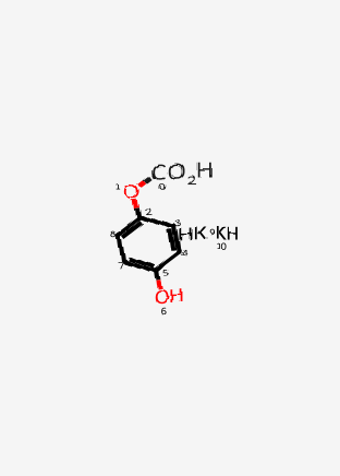 O=C(O)Oc1ccc(O)cc1.[KH].[KH]